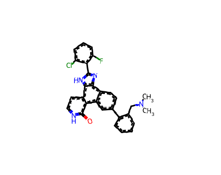 CN(C)Cc1ccccc1-c1ccc2c(c1)c1c(=O)[nH]ccc1c1[nH]c(-c3c(F)cccc3Cl)nc21